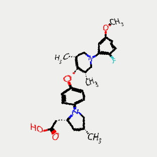 COc1ccc(F)c(N2C[C@@H](C)[C@@H](Oc3ccc(N4C[C@H](C)C[C@@H]4CC(=O)O)cc3)[C@@H](C)C2)c1